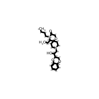 CCCCN1C(=O)COC2(CCN(CC(O)C3COc4ccccc4O3)CC2)C1CC